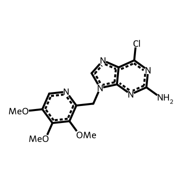 COc1cnc(Cn2cnc3c(Cl)nc(N)nc32)c(OC)c1OC